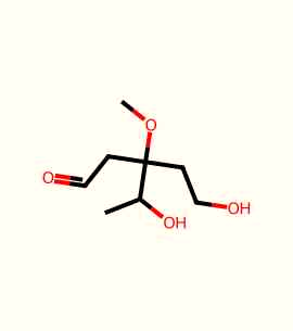 COC(CC=O)(CCO)C(C)O